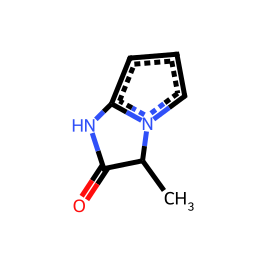 CC1C(=O)Nc2cccn21